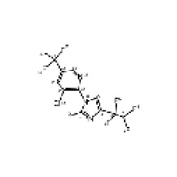 Cc1nc(C(F)(F)C(F)F)cn1-c1ncc(C(F)(F)F)cc1Cl